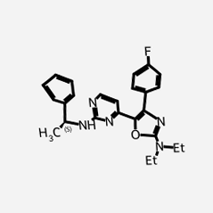 CCN(CC)c1nc(-c2ccc(F)cc2)c(-c2ccnc(N[C@@H](C)c3ccccc3)n2)o1